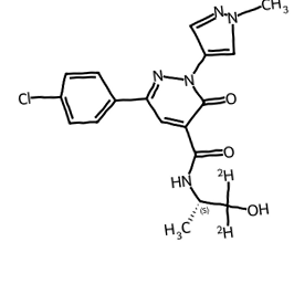 [2H]C([2H])(O)[C@H](C)NC(=O)c1cc(-c2ccc(Cl)cc2)nn(-c2cnn(C)c2)c1=O